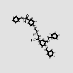 O=C(NCc1ccccc1)c1ccc(OCCNCC(O)c2ccc(OCc3ccccc3)c(OCc3ccccc3)c2)cc1